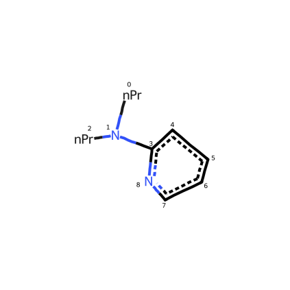 CCCN(CCC)c1ccccn1